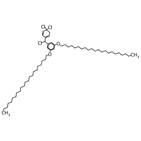 CCCCCCCCCCCCCCCCCCCCCCOc1cc(OCCCCCCCCCCCCCCCCCCCCCC)cc(C(Cl)C2=CCC(Cl)(Cl)C=C2)c1